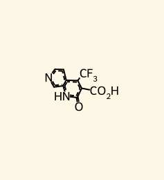 O=C(O)c1c(C(F)(F)F)c2ccncc2[nH]c1=O